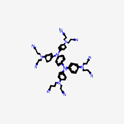 N#CCCCN(CCC#N)c1ccc(N(c2ccc(N(CCC#N)CCC#N)cc2)c2ccc(N(c3ccc(N(CCC#N)CCC#N)cc3)c3ccc(N(CCC#N)CCC#N)cc3)cc2)cc1